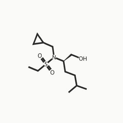 CCS(=O)(=O)N(CC1CC1)[C@@H](CO)CCC(C)C